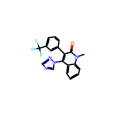 Cn1c(=O)c(-c2cccc(C(F)(F)F)c2)c(-n2cncn2)c2ccccc21